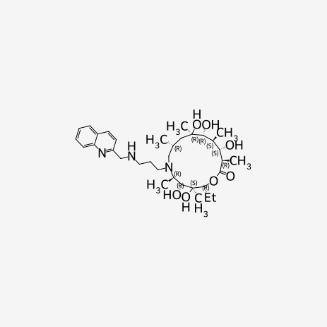 CC[C@H]1OC(=O)[C@H](C)[C@@H](O)[C@H](C)[C@@H](O)[C@](C)(O)C[C@@H](C)CN(CCCNCc2ccc3ccccc3n2)[C@H](C)[C@@H](O)[C@]1(C)O